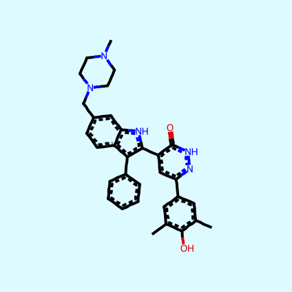 Cc1cc(-c2cc(-c3[nH]c4cc(CN5CCN(C)CC5)ccc4c3-c3ccccc3)c(=O)[nH]n2)cc(C)c1O